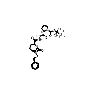 CC(C)(C)OC(=O)N1CCC[C@H]1C(=O)NNC(=O)C1CCC2CN1C(=O)N2OCc1ccccc1